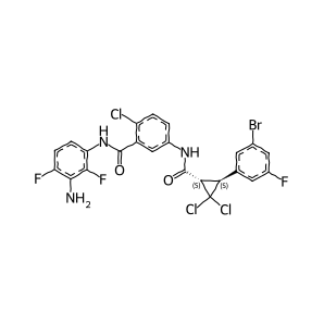 Nc1c(F)ccc(NC(=O)c2cc(NC(=O)[C@@H]3[C@@H](c4cc(F)cc(Br)c4)C3(Cl)Cl)ccc2Cl)c1F